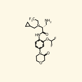 NC[C@H](C(=O)Nc1ccc(N2CCOCC2=O)cc1OC(F)F)N(CC1CC1)CC(F)(F)F